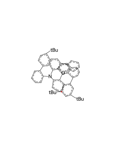 CC(C)(C)c1ccc(-c2ccccc2N(c2ccccc2-c2cccc3cccc(-c4cc(C(C)(C)C)cc(C(C)(C)C)c4)c23)c2cccc3c2oc2ccccc23)cc1